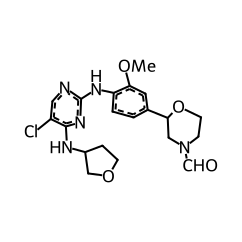 COc1cc(C2CN(C=O)CCO2)ccc1Nc1ncc(Cl)c(NC2CCOC2)n1